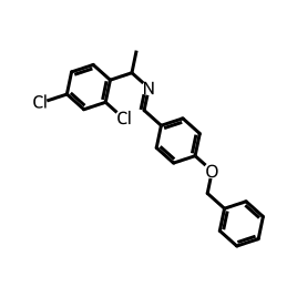 CC(N=Cc1ccc(OCc2ccccc2)cc1)c1ccc(Cl)cc1Cl